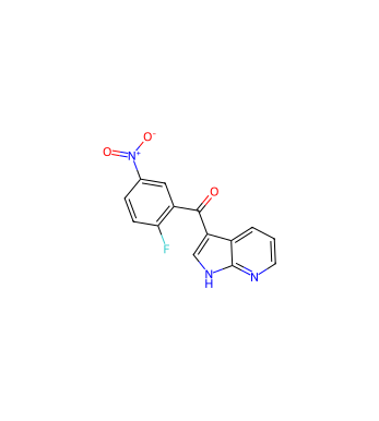 O=C(c1cc([N+](=O)[O-])ccc1F)c1c[nH]c2ncccc12